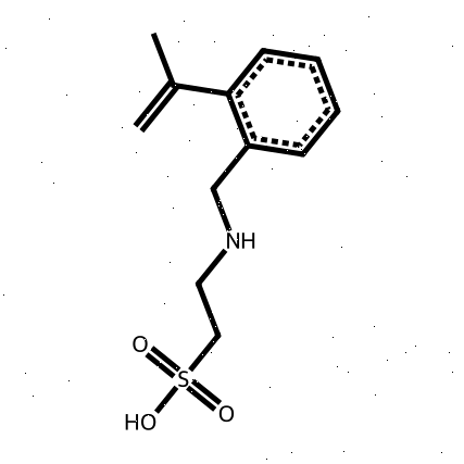 C=C(C)c1ccccc1CNCCS(=O)(=O)O